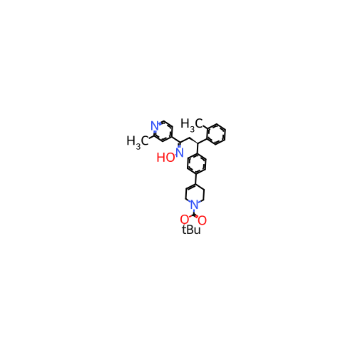 Cc1cc(C(C[C@H](c2ccc(C3=CCN(C(=O)OC(C)(C)C)CC3)cc2)c2ccccc2C)=NO)ccn1